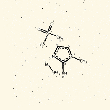 CCN.CS(=O)(=O)S.Cn1ccnc1S